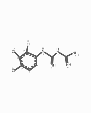 N=C(N)NC(=N)Nc1ccc(Cl)c(Cl)c1Cl